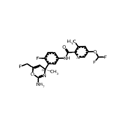 Cc1cc(OC(F)F)cnc1C(=O)Nc1ccc(F)c([C@]2(C)C=C(CF)OC(N)=N2)c1